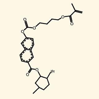 C=C(C)C(=O)OCCCCOC(=O)Oc1ccc2cc(C(=O)OC3CC(C)CCC3C(C)C)ccc2c1